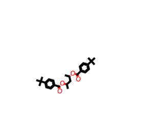 CC(CC(C)OC(=O)c1ccc(C(C)(C)C)cc1)OC(=O)c1ccc(C(C)(C)C)cc1